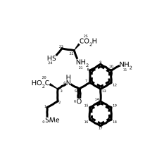 CSCC[C@H](NC(=O)c1ccc(N)cc1-c1ccccc1)C(=O)O.N[C@@H](CS)C(=O)O